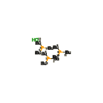 CCC(C)P(C(C)CC)C(C)CC.CCC(C)P(C(C)CC)C(C)CC.CCC(C)P(C(C)CC)C(C)CC.Cl